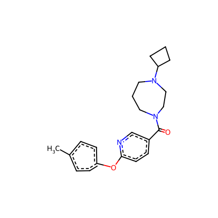 Cc1ccc(Oc2ccc(C(=O)N3CCCN(C4CCC4)CC3)cn2)cc1